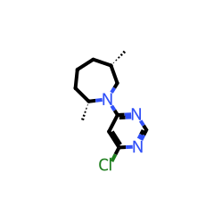 C[C@H]1CCC[C@@H](C)N(c2cc(Cl)ncn2)C1